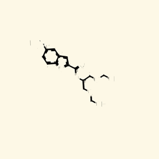 CCOCC(COCC)OC(=O)c1cc2cc(N)ccc2o1